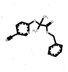 CC(C)(Oc1ccc(C#N)cn1)C(=O)OCc1ccccc1